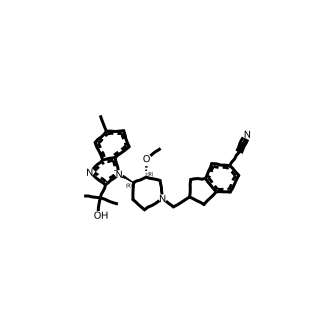 CO[C@@H]1CN(CC2Cc3ccc(C#N)cc3C2)CC[C@H]1n1c(C(C)(C)O)nc2cc(C)ccc21